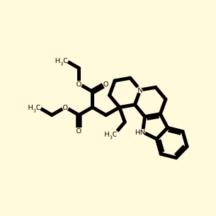 CCOC(=O)C(CC1(CC)CCCN2CCc3c([nH]c4ccccc34)C21)C(=O)OCC